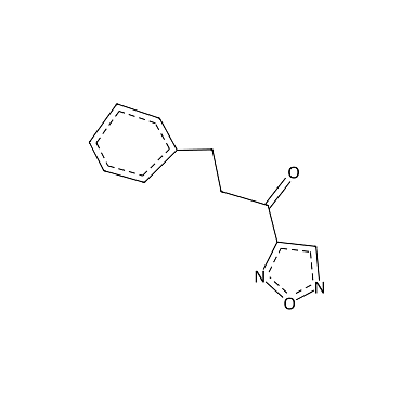 O=C(CCc1ccccc1)c1cnon1